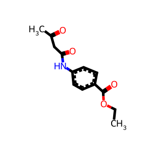 CCOC(=O)c1ccc(NC(=O)CC(C)=O)cc1